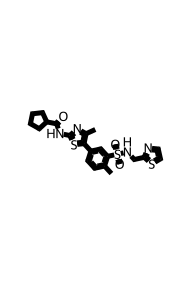 Cc1ccc(-c2sc(NC(=O)C3CCCC3)nc2C)cc1S(=O)(=O)NCc1nccs1